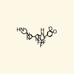 COc1ccc([C@H]2C[C@@H](C(F)(F)F)n3nc(-c4cnn(C5CCNCC5)c4)cc3N2)cc1OC